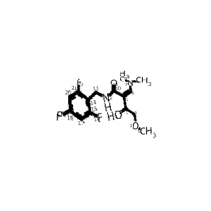 COCC(O)/C(=C/N(C)C)C(=O)NCc1c(F)cc(F)cc1F